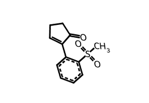 CS(=O)(=O)c1ccccc1C1=CCCC1=O